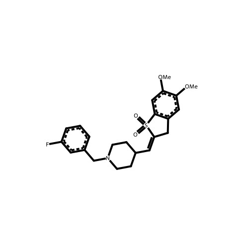 COc1cc2c(cc1OC)S(=O)(=O)C(=CC1CCN(Cc3cccc(F)c3)CC1)C2